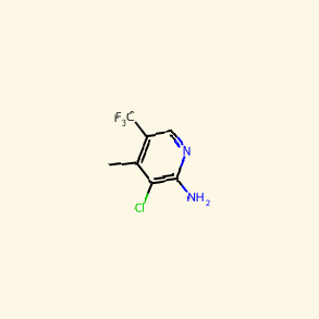 Cc1c(C(F)(F)F)cnc(N)c1Cl